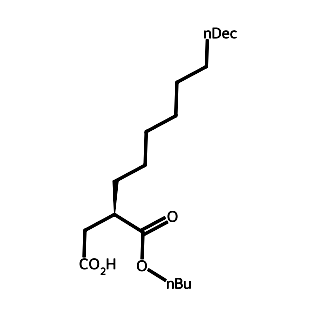 CCCCCCCCCCCCCCCC[C@H](CC(=O)O)C(=O)OCCCC